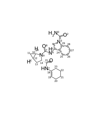 NC(=O)n1cc(NC(=O)N2[C@@H]3C[C@@H]3C[C@H]2C(=O)NC2=CCCCC2)c2ccccc21